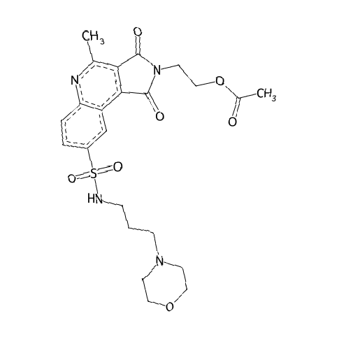 CC(=O)OCCN1C(=O)c2c(C)nc3ccc(S(=O)(=O)NCCCN4CCOCC4)cc3c2C1=O